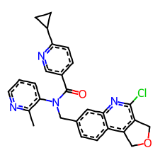 Cc1ncccc1N(Cc1ccc2c3c(c(Cl)nc2c1)COC3)C(=O)c1ccc(C2CC2)nc1